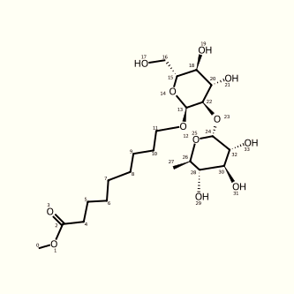 COC(=O)CCCCCCCCO[C@H]1O[C@H](CO)[C@@H](O)[C@H](O)[C@H]1O[C@H]1O[C@H](C)[C@@H](O)[C@H](O)[C@H]1O